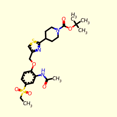 CCS(=O)(=O)c1ccc(OCc2csc(C3CCN(C(=O)OC(C)(C)C)CC3)n2)c(NC(C)=O)c1